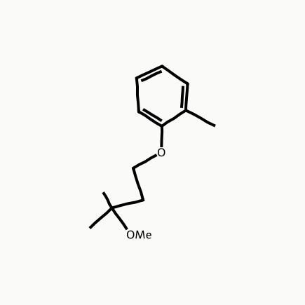 COC(C)(C)CCOc1ccccc1C